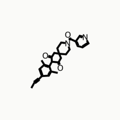 CC#Cc1cc(C)c(C2C(=O)CC3(CCN(C(=O)c4cccnc4)CC3)CC2=O)c(C)c1